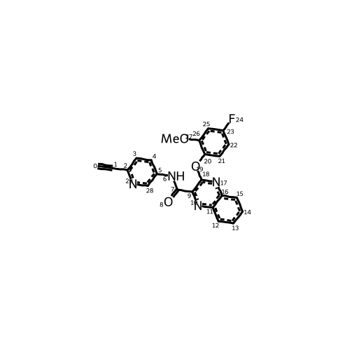 C#Cc1ccc(NC(=O)c2nc3ccccc3nc2Oc2ccc(F)cc2OC)cn1